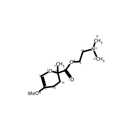 COC1=COC(C)(C(=O)OCCN(C)C)CC1